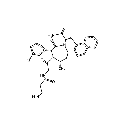 C[C@@H]1CCN([C@H](Cc2cccc3ccccc23)C(N)=O)C(=O)[C@@H](c2cccc(Cl)c2)N1C(=O)CNC(=O)CCN